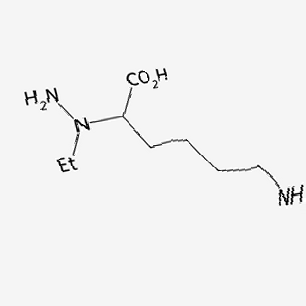 CCN(N)C(CCCCN)C(=O)O